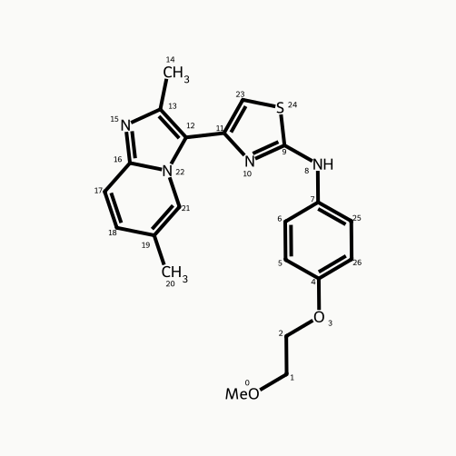 COCCOc1ccc(Nc2nc(-c3c(C)nc4ccc(C)cn34)cs2)cc1